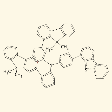 CC1(C)c2ccccc2-c2ccc(-c3ccccc3N(c3ccc(-c4cccc5c4sc4ccccc45)cc3)c3cccc(-c4cccc5c4C(C)(C)c4ccccc4-5)c3)cc21